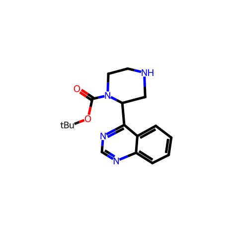 CC(C)(C)OC(=O)N1CCNCC1c1ncnc2ccccc12